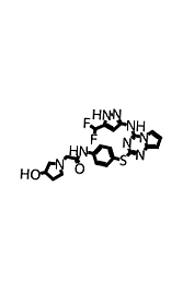 O=C(CN1CCC(O)C1)Nc1ccc(Sc2nc(Nc3cc(C(F)F)[nH]n3)n3cccc3n2)cc1